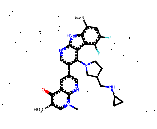 CNc1cc(F)c(F)c2c1[nH]c1ncc(-c3cnc4c(c3)c(=O)c(C(=O)O)cn4C)c(N3CCC(CNC4CC4)C3)c12